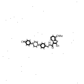 CCc1nc2c(OC)cccn2c1C(=O)NCc1ccc(N2CCN(c3ccc(Cl)cc3)CC2)cc1